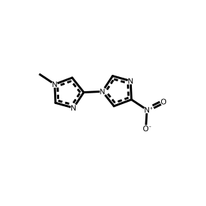 Cn1cnc(-n2cnc([N+](=O)[O-])c2)c1